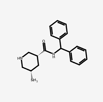 N[C@@H]1CNC[C@H](C(=O)NC(c2ccccc2)c2ccccc2)C1